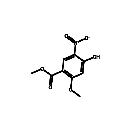 COC(=O)c1cc([N+](=O)[O-])c(O)cc1OC